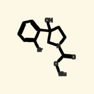 CC(C)(C)OC(=O)N1CCC(O)(c2ccccc2Br)C1